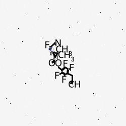 C#CCc1c(F)c(F)c(COC(=O)[C@@H]2[C@H](/C=C(/F)C#N)C2(C)C)c(F)c1F